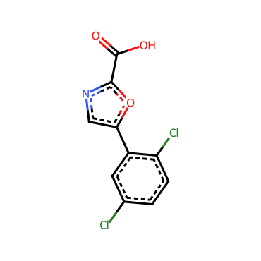 O=C(O)c1ncc(-c2cc(Cl)ccc2Cl)o1